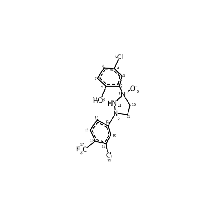 [O-][N+]1(c2cc(Cl)ccc2O)CCN(c2ccc(C(F)(F)F)c(Cl)c2)N1